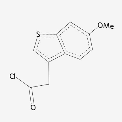 COc1ccc2c(CC(=O)Cl)csc2c1